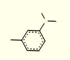 CCCN(C)c1cc[c]c(Cl)c1